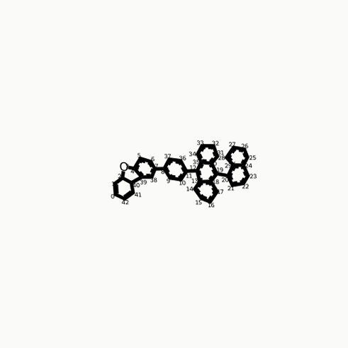 C1=CC2Oc3ccc(-c4ccc(-c5c6ccccc6c(-c6cccc7ccccc67)c6ccccc56)cc4)cc3C2C=C1